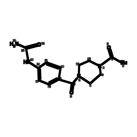 CCC(C)C(=O)N1CCN(C(=O)c2ccc(NC(N)=O)cc2)CC1